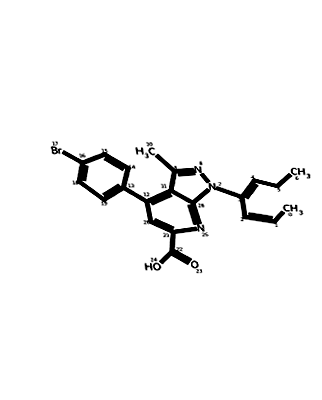 C/C=C\C(=C/CC)n1nc(C)c2c(-c3ccc(Br)cc3)cc(C(=O)O)nc21